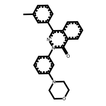 Cc1cccc(-c2nn(-c3cccc(N4CCOCC4)c3)c(=O)c3ccccc23)c1